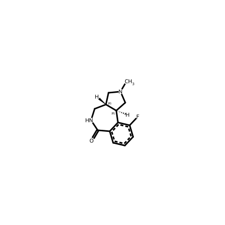 CN1C[C@H]2CNC(=O)c3cccc(F)c3[C@@H]2C1